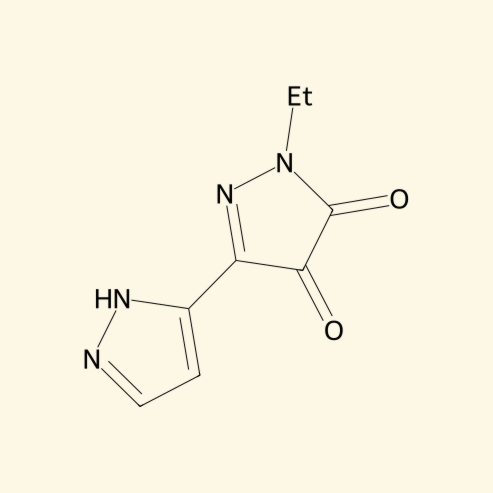 CCN1N=C(c2ccn[nH]2)C(=O)C1=O